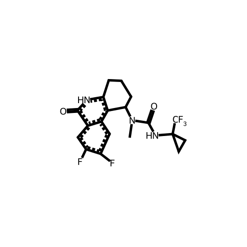 CN(C(=O)NC1(C(F)(F)F)CC1)C1CCCc2[nH]c(=O)c3cc(F)c(F)cc3c21